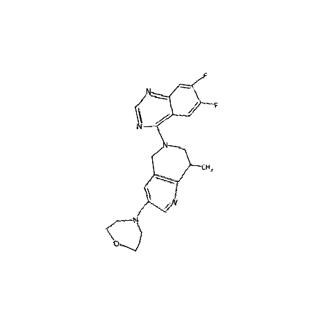 CC1CN(c2ncnc3cc(F)c(F)cc23)Cc2cc(N3CCOCC3)cnc21